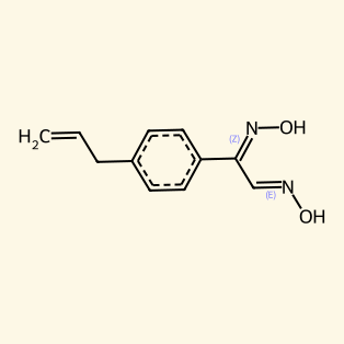 C=CCc1ccc(C(/C=N/O)=N/O)cc1